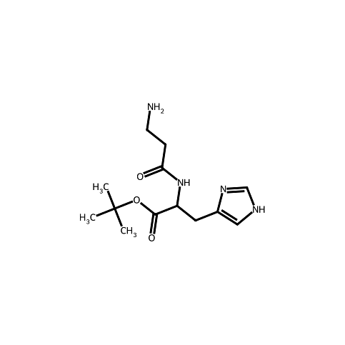 CC(C)(C)OC(=O)C(Cc1c[nH]cn1)NC(=O)CCN